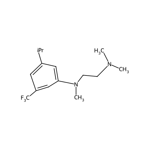 CC(C)c1cc(N(C)CCN(C)C)cc(C(F)(F)F)c1